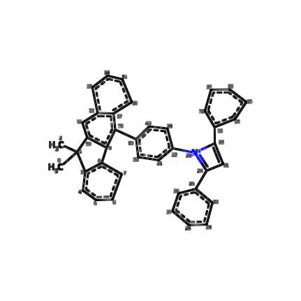 CC1(C)c2ccccc2-c2c1cc1ccccc1c2-c1ccc([N+]2=C(c3ccccc3)C=C2c2ccccc2)cc1